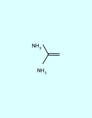 C=C(C)C.N.N